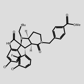 COC(=O)c1ccc(CN2CC[C@H]3[C@@H](C2=O)[C@H](c2cccc(Cl)c2F)[C@]2(C(=O)Nc4cc(Cl)ccc42)N3CC(C)(C)C)cc1